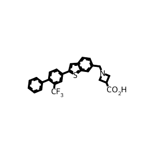 O=C(O)C1CN(Cc2ccc3cc(-c4ccc(-c5ccccc5)c(C(F)(F)F)c4)sc3c2)C1